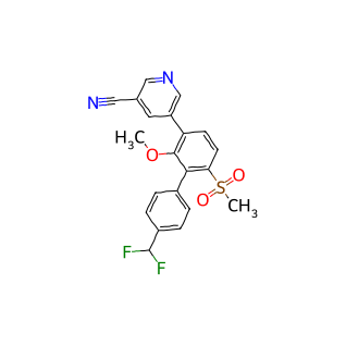 COc1c(-c2cncc(C#N)c2)ccc(S(C)(=O)=O)c1-c1ccc(C(F)F)cc1